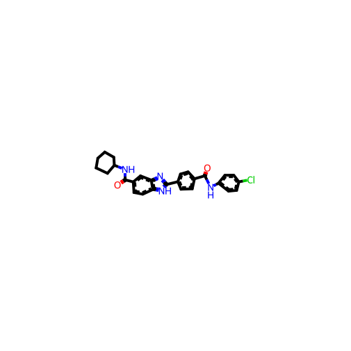 O=C(Nc1ccc(Cl)cc1)c1ccc(-c2nc3cc(C(=O)NC4CCCCC4)ccc3[nH]2)cc1